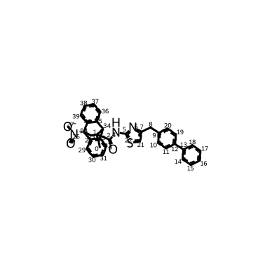 CC1(C(=O)Nc2nc(Cc3ccc(-c4ccccc4)cc3)cs2)CC2([N+](=O)[O-])c3ccccc3C1c1ccccc12